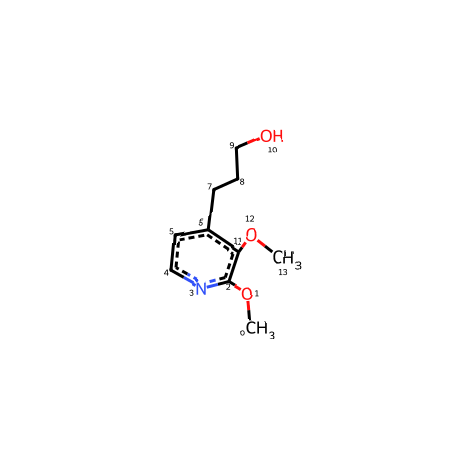 COc1nccc(CCCO)c1OC